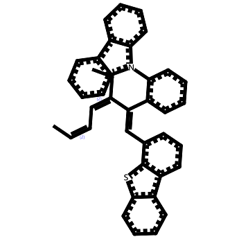 C/C=C\C=C(\CC)C(=Cc1cccc2c1sc1ccccc12)c1ccccc1-n1c2ccccc2c2ccccc21